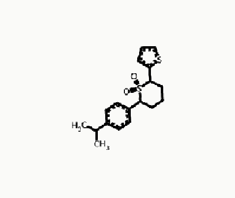 CC(C)c1ccc(C2CCCC(c3cccs3)S2(=O)=O)cc1